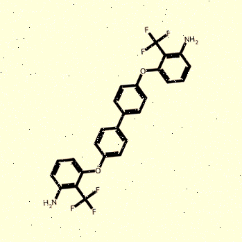 Nc1cccc(Oc2ccc(-c3ccc(Oc4cccc(N)c4C(F)(F)F)cc3)cc2)c1C(F)(F)F